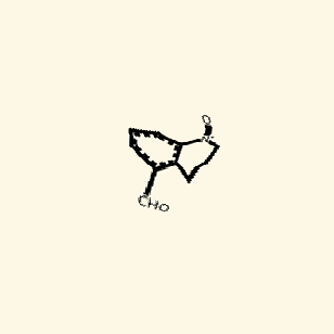 O=Cc1cccc2c1CCC[N+]2=O